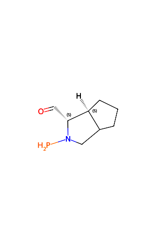 O=C[C@@H]1[C@H]2CCCC2CN1P